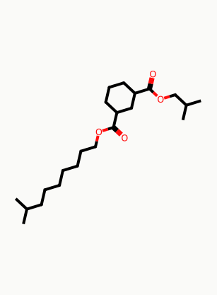 CC(C)CCCCCCCOC(=O)C1CCCC(C(=O)OCC(C)C)C1